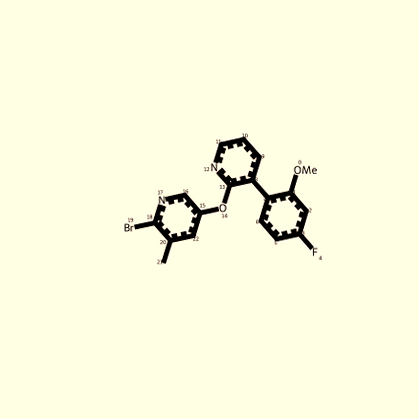 COc1cc(F)ccc1-c1cccnc1Oc1cnc(Br)c(C)c1